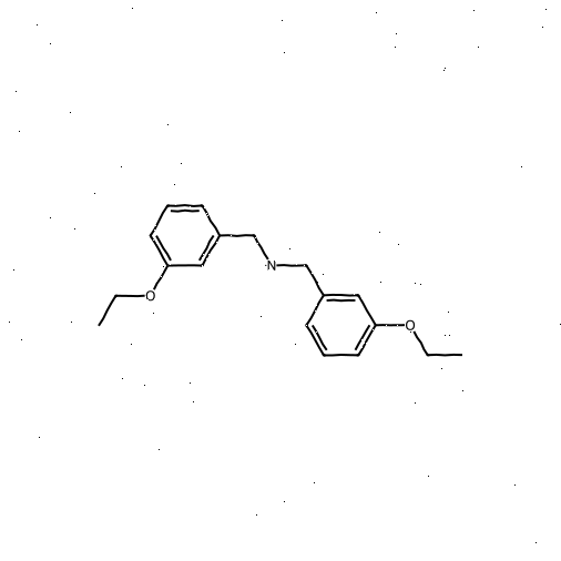 CCOc1cccc(C[N]Cc2cccc(OCC)c2)c1